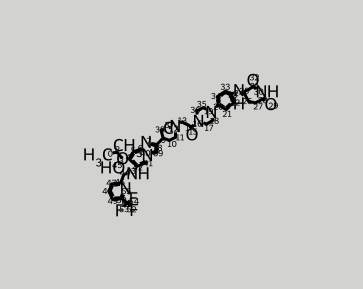 CC(C)Oc1cc2nc(C3CCN(CC(=O)N4CCN(c5ccc(NC6CCC(=O)NC6=O)cc5)CC4)CC3)cn2cc1NC(O)c1cccc(C(F)(F)F)n1